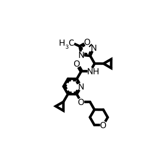 Cc1nc(C(NC(=O)c2ccc(C3CC3)c(OCC3CCOCC3)n2)C2CC2)no1